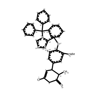 COc1cc(C2C=C(Cl)CC(=O)C2C)cc(F)c1OCc1nncn1C(c1ccccc1)(c1ccccc1)c1ccccc1